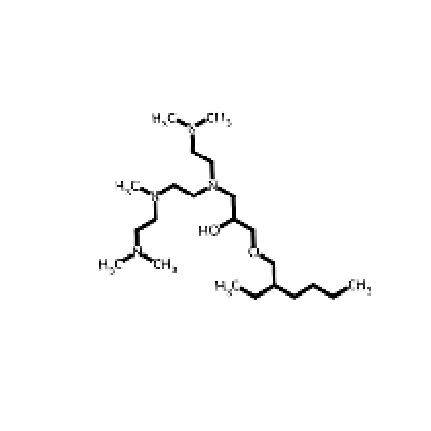 CCCCC(CC)COCC(O)CN(CCN(C)C)CCN(C)CCN(C)C